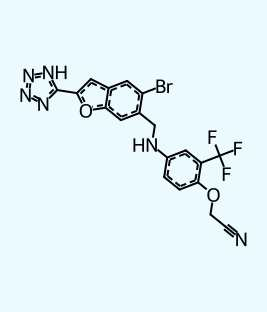 N#CCOc1ccc(NCc2cc3oc(-c4nnn[nH]4)cc3cc2Br)cc1C(F)(F)F